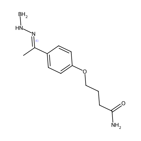 BN/N=C(\C)c1ccc(OCCCC(N)=O)cc1